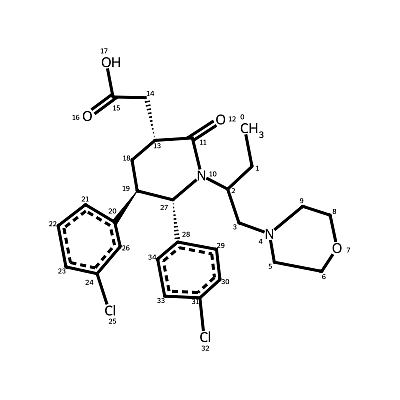 CCC(CN1CCOCC1)N1C(=O)[C@@H](CC(=O)O)C[C@H](c2cccc(Cl)c2)[C@H]1c1ccc(Cl)cc1